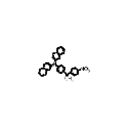 CN(c1ccc(N(c2ccc3ccccc3c2)c2ccc3ccccc3c2)cc1)c1ccc([N+](=O)[O-])cc1